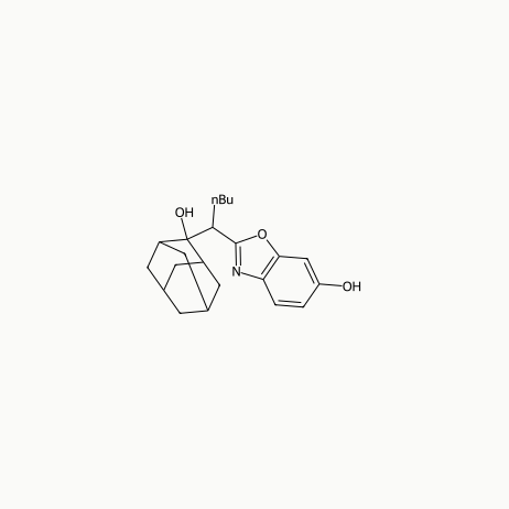 CCCCC(c1nc2ccc(O)cc2o1)C1(O)C2CC3CC(C2)CC1C3